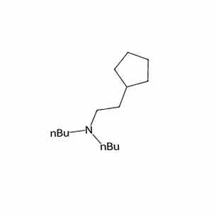 CCCCN(CCCC)CCC1CCCC1